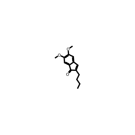 CCCCC1=Cc2cc(OC)c(OC)cc2C1=O